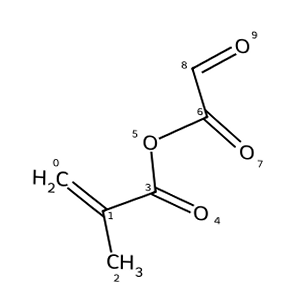 C=C(C)C(=O)OC(=O)C=O